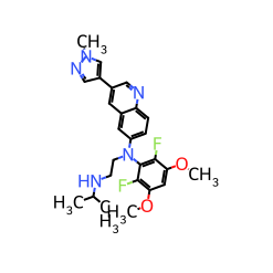 COc1cc(OC)c(F)c(N(CCNC(C)C)c2ccc3ncc(-c4cnn(C)c4)cc3c2)c1F